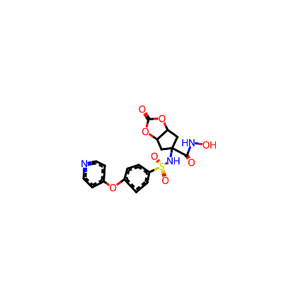 O=C1OC2CC(NS(=O)(=O)c3ccc(Oc4ccncc4)cc3)(C(=O)NO)CC2O1